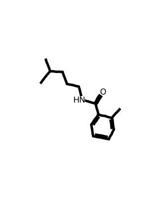 Cc1ccccc1C(=O)NCCCC(C)C